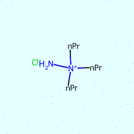 CCC[N+](N)(CCC)CCC.[Cl-]